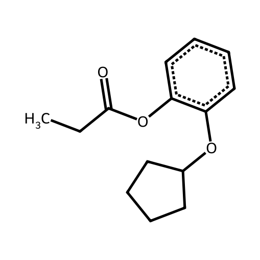 CCC(=O)Oc1ccccc1OC1CCCC1